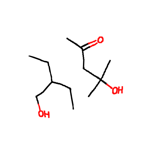 CC(=O)CC(C)(C)O.CCC(CC)CO